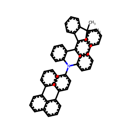 CC1(C)c2ccccc2-c2c(-c3ccccc3N(c3ccc(-c4cccc5cccc(-c6ccccc6)c45)cc3)c3cccc(-c4ccccc4)c3)cccc21